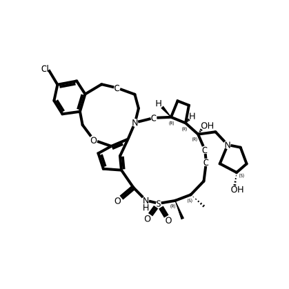 C[C@@H]1[C@@H](C)CCC[C@](O)(CN2CC[C@H](O)C2)[C@@H]2CC[C@H]2CN2CCCCc3cc(Cl)ccc3COc3ccc(cc32)C(=O)NS1(=O)=O